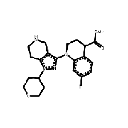 COC(=O)C1CCN(c2nn(C3CCOCC3)c3c2CNCC3)c2cc(F)ccc21